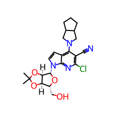 CC1(C)O[C@@H]2[C@H](O1)[C@@H](CO)O[C@H]2n1ccc2c(N3CC4CCCC4C3)c(C#N)c(Cl)nc21